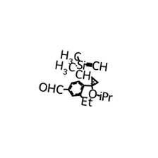 C#C[Si](C)(C)C.CCc1cc(C=O)ccc1C1(OC(C)C)CC1